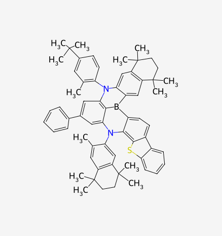 Cc1cc(C(C)(C)C)ccc1N1c2cc3c(cc2B2c4ccc5c(sc6ccccc65)c4N(c4cc5c(cc4C)C(C)(C)CCC5(C)C)c4cc(-c5ccccc5)cc1c42)C(C)(C)CCC3(C)C